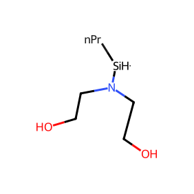 CCC[SiH]N(CCO)CCO